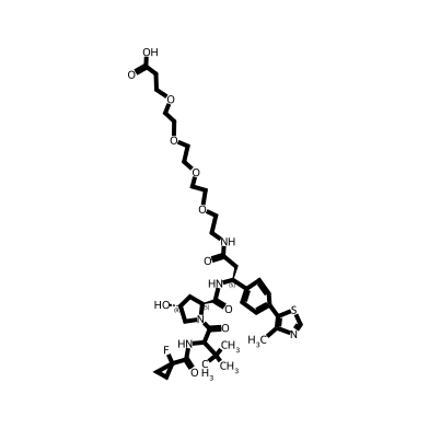 Cc1ncsc1-c1ccc([C@H](CC(=O)NCCOCCOCCOCCOCCC(=O)O)NC(=O)[C@@H]2C[C@@H](O)CN2C(=O)C(NC(=O)C2(F)CC2)C(C)(C)C)cc1